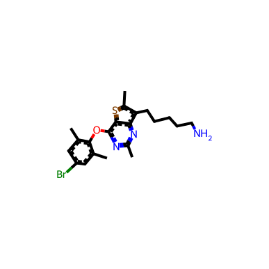 Cc1nc(Oc2c(C)cc(Br)cc2C)c2sc(C)c(CCCCCN)c2n1